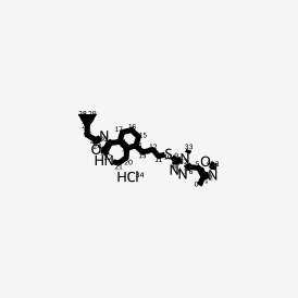 Cc1ncoc1-c1nnc(SCCCC2CCCC3=C2CCNc2oc(CC4CC4)nc23)n1C.Cl